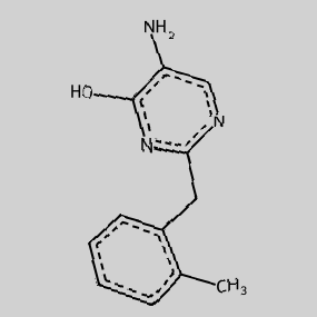 Cc1ccccc1Cc1ncc(N)c(O)n1